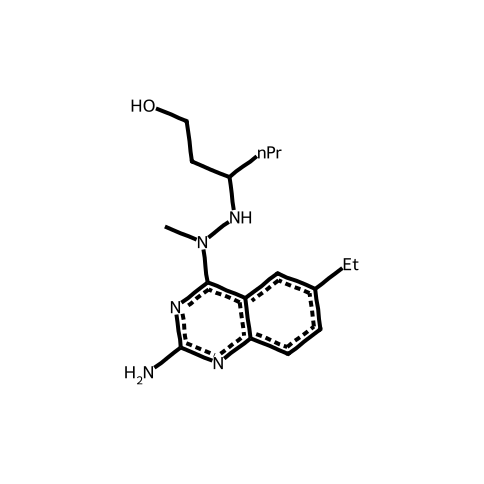 CCCC(CCO)NN(C)c1nc(N)nc2ccc(CC)cc12